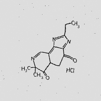 CCC1=NC2=C3C=NC(C)(C)C(=O)C3CC(=O)C2=N1.Cl